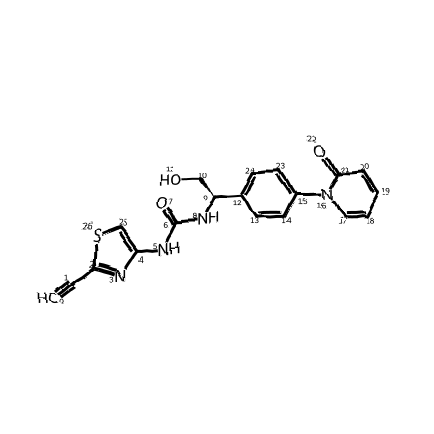 C#Cc1nc(NC(=O)N[C@@H](CO)c2ccc(-n3ccccc3=O)cc2)cs1